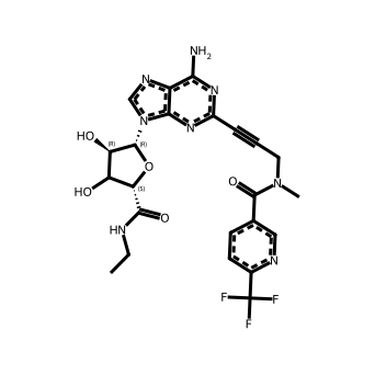 CCNC(=O)[C@H]1O[C@@H](n2cnc3c(N)nc(C#CCN(C)C(=O)c4ccc(C(F)(F)F)nc4)nc32)[C@H](O)C1O